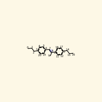 CCCc1ccc(/C=C(\C)c2ccc(CCC)cc2)cc1